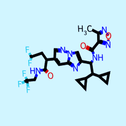 Cc1nonc1C(=O)NC(c1cn2ncc(C(CC(F)F)C(=O)NCC(F)(F)F)cc2n1)C(C1CC1)C1CC1